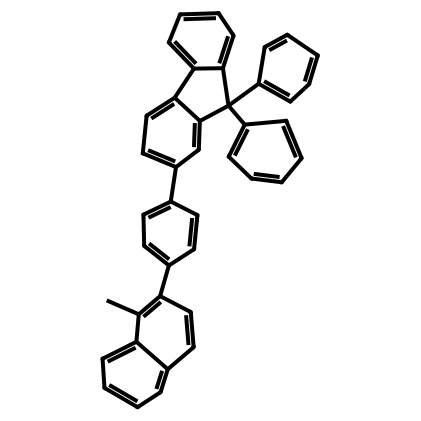 Cc1c(-c2ccc(-c3ccc4c(c3)C(c3ccccc3)(c3ccccc3)c3ccccc3-4)cc2)ccc2ccccc12